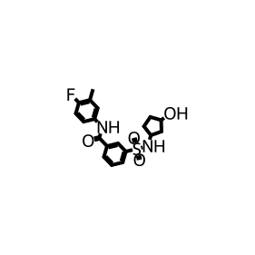 Cc1cc(NC(=O)c2cccc(S(=O)(=O)NC3CCC(O)C3)c2)ccc1F